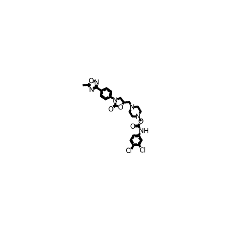 Cc1nc(-c2ccc(N3CC(CN4CCN(OC(=O)Nc5ccc(Cl)c(Cl)c5)CC4)OC3=O)cc2)no1